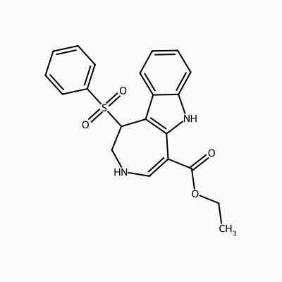 CCOC(=O)C1=CNCC(S(=O)(=O)c2ccccc2)c2c1[nH]c1ccccc21